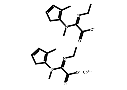 CCN=C(C(=O)[O-])N(C)C1=C(C)C=CC1.CCN=C(C(=O)[O-])N(C)C1=C(C)C=CC1.[Co+2]